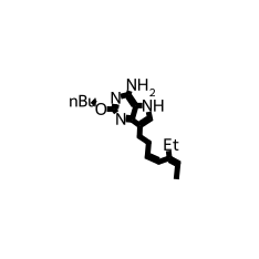 C/C=C(\C=C/CCc1c[nH]c2c(N)nc(OCCCC)nc12)CC